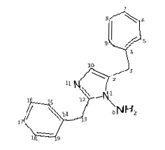 Nn1c(Cc2ccccc2)cnc1Cc1ccccc1